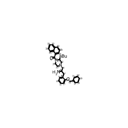 CCCCC1CN(CC(N)Cc2ccccc2OCc2ccccc2)CCN1C(=O)c1cccc2ccccc12